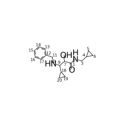 O=C(NCC1CC1)C(O)C(NCc1ccccc1)C1CC1